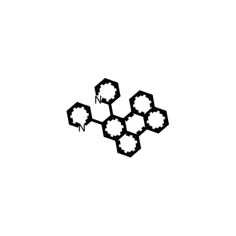 c1ccc(-c2cc3cccc4c5cccc6cccc(c(c2-c2ccccn2)c34)c65)nc1